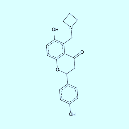 O=C1CC(c2ccc(O)cc2)Oc2ccc(O)c(CN3CCC3)c21